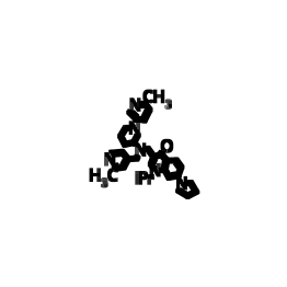 Cc1ccc(N2CCCC(N(Cc3ccnc(C)c3)Cc3cn(C(C)C)c4cc(N5CCCC5)ccc4c3=O)C2)cn1